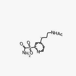 CC(=O)NCC[CH]c1ccnc(S(=O)(=O)C(N)=O)c1